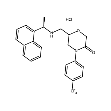 C[C@@H](NCC1CN(c2ccc(C(F)(F)F)cc2)C(=O)CO1)c1cccc2ccccc12.Cl